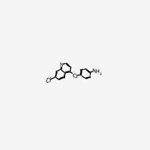 Nc1ccc(Oc2ccnc3cc(Cl)ccc23)cc1